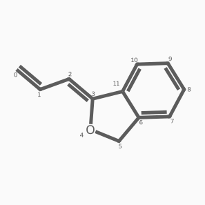 C=CC=C1OCc2ccccc21